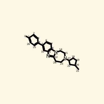 Cc1ccc(-c2ccc3c(c2)nc2n3CCN(C3CCC(C)C3)CC2)cc1